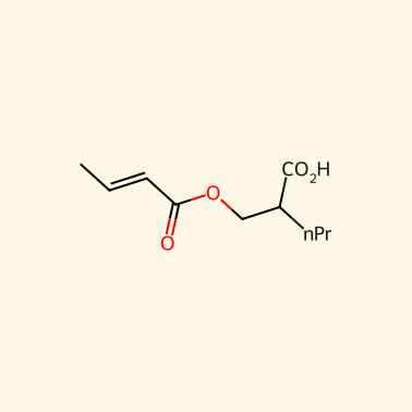 CC=CC(=O)OCC(CCC)C(=O)O